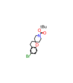 CC(C)(C)OC(=O)N1CCC2(CCc3cc(Br)ccc3O2)CC1